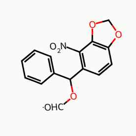 O=[C]OC(c1ccccc1)c1ccc2c(c1[N+](=O)[O-])OCO2